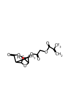 C=C(C(=O)OCC(=O)OC1C2OC(=O)C3C2OC1C3(C)C)C(F)(F)F